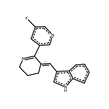 Fc1cncc(C2=NCCC/C2=C\c2c[nH]c3ccccc23)c1